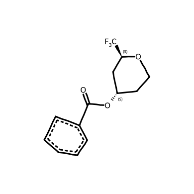 O=C(O[C@H]1CCO[C@H](C(F)(F)F)C1)c1ccccc1